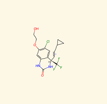 O=C1Nc2cc(OCCO)c(Cl)cc2[C@@](/C=C/C2CC2)(C(F)(F)F)N1